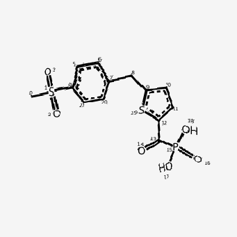 CS(=O)(=O)c1ccc(Cc2ccc(C(=O)P(=O)(O)O)s2)cc1